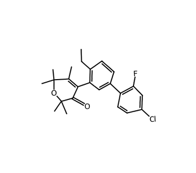 CCc1ccc(-c2ccc(Cl)cc2F)cc1C1=C(C)C(C)(C)OC(C)(C)C1=O